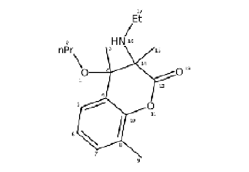 CCCOC1(C)c2cccc(C)c2OC(=O)C1(C)NCC